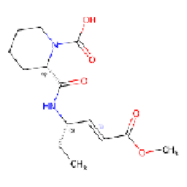 CC[C@@H](/C=C/C(=O)OC)NC(=O)[C@@H]1CCCCN1C(=O)O